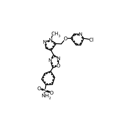 Cn1ncc(-c2noc(-c3ccc(S(N)(=O)=O)cc3)n2)c1COc1ccc(Cl)nc1